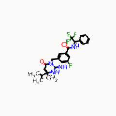 CC(C)[C@]1(C)CC(=O)N(Cc2cc(F)cc(C(=O)N[C@H](c3ccccc3)C(F)(F)F)c2)C(=N)N1